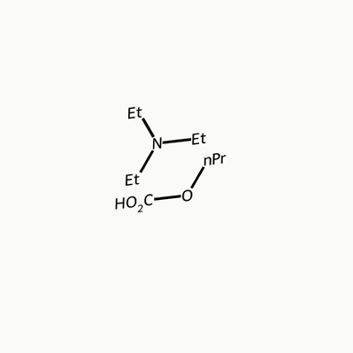 CCCOC(=O)O.CCN(CC)CC